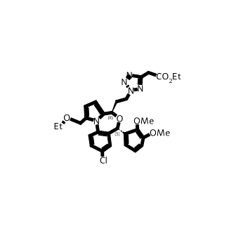 CCOCc1ccc2n1-c1ccc(Cl)cc1[C@@H](c1cccc(OC)c1OC)O[C@@H]2CCn1nnc(CC(=O)OCC)n1